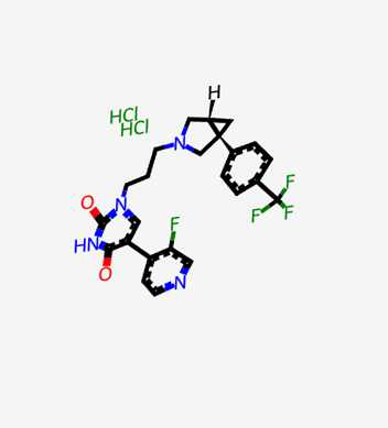 Cl.Cl.O=c1[nH]c(=O)n(CCCN2C[C@@H]3C[C@]3(c3ccc(C(F)(F)F)cc3)C2)cc1-c1ccncc1F